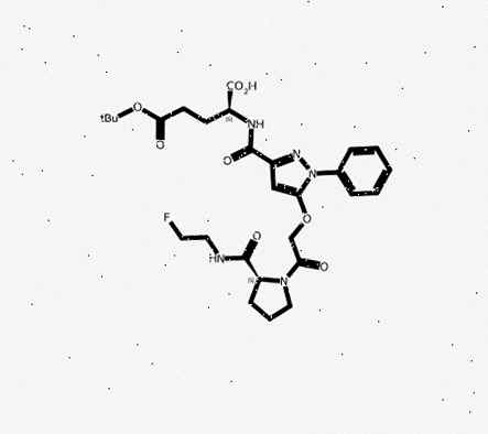 CC(C)(C)OC(=O)CC[C@H](NC(=O)c1cc(OCC(=O)N2CCC[C@H]2C(=O)NCCF)n(-c2ccccc2)n1)C(=O)O